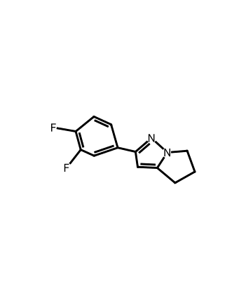 Fc1ccc(-c2cc3n(n2)CCC3)cc1F